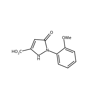 COc1ccccc1-n1[nH]c(C(=O)O)cc1=O